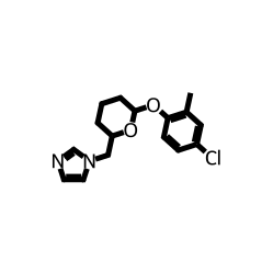 Cc1cc(Cl)ccc1OC1CCCC(Cn2ccnc2)O1